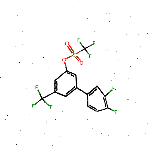 O=S(=O)(Oc1cc(-c2ccc(F)c(F)c2)cc(C(F)(F)F)c1)C(F)(F)F